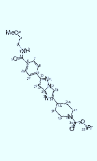 COCCNC(=O)c1ccc(-c2nn3cc(C4CCN(C(=O)OC(C)C)CC4)nc3s2)cc1